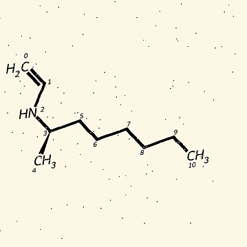 C=CN[C@H](C)CCCCCC